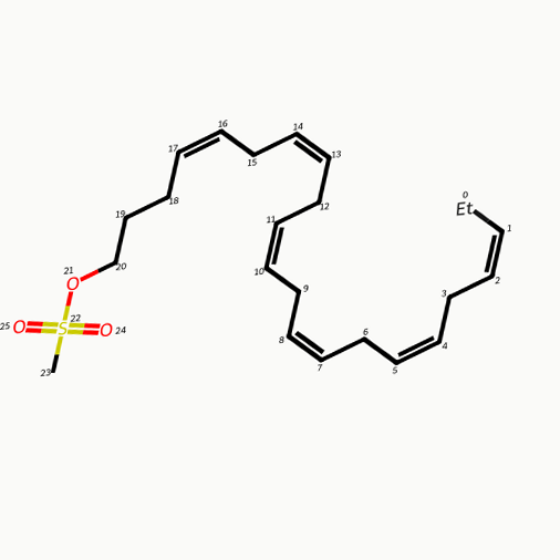 CC/C=C\C/C=C\C/C=C\C/C=C\C/C=C\C/C=C\CCCOS(C)(=O)=O